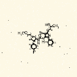 COCCN1C[C@@H](NC(=O)Nc2c(Br)c(OCC(C)O)nn2-c2ccccc2)[C@H](c2ccc(F)cc2)C1